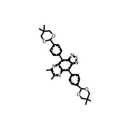 Cc1nc2c(-c3ccc(C4OCC(C)(C)CO4)cc3)c3nsnc3c(-c3ccc(C4OCC(C)(C)CO4)cc3)c2nc1C